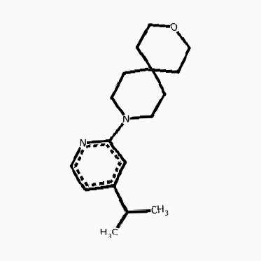 CC(C)c1ccnc(N2CCC3(CCOCC3)CC2)c1